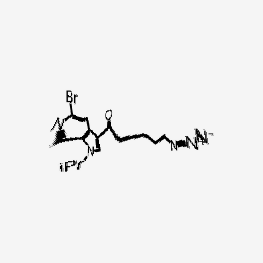 CC(C)n1cc(C(=O)CCCCN=[N+]=[N-])c2cc(Br)ncc21